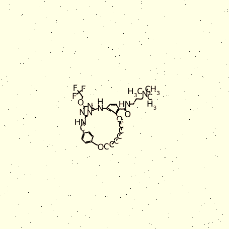 C[N+](C)(C)CCCNC(=O)c1ccc2cc1OCCCCCCOc1ccc(cc1)CNc1nc(nc(OCC(F)(F)F)n1)N2